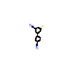 N#Cc1ccc(-c2cc(F)cc(C#N)c2)cc1